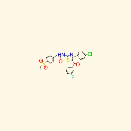 CCS(=O)(=O)c1ccc(CC(=O)Nc2nc(-c3ccc(Cl)cc3)c(C(=O)c3cccc(F)c3)s2)cc1